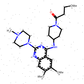 COCCC(=O)N1CCC(Nc2nc(N3CCN(C)CC3)nc3cc(OC)c(OC)cc23)CC1